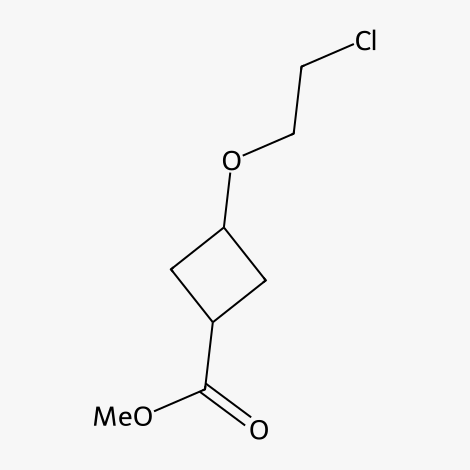 COC(=O)C1CC(OCCCl)C1